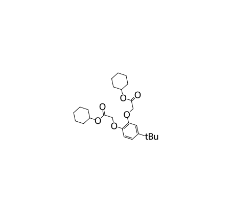 CC(C)(C)c1ccc(OCC(=O)OC2CCCCC2)c(OCC(=O)OC2CCCCC2)c1